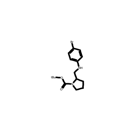 CC(C)(C)OC(=O)N1CCCC1CNc1ccc(Br)cc1